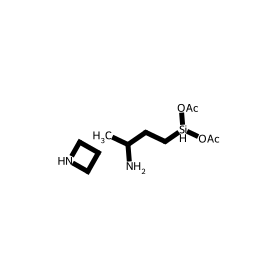 C1CNC1.CC(=O)O[SiH](CCC(C)N)OC(C)=O